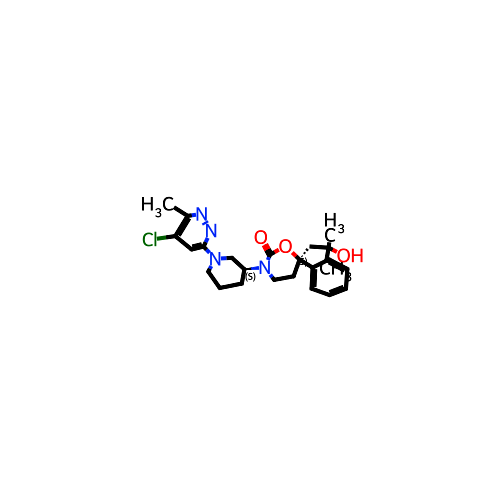 Cc1nnc(N2CCC[C@H](N3CC[C@](CC(C)(C)O)(c4ccccc4)OC3=O)C2)cc1Cl